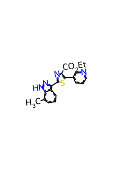 CCOC(=O)c1nc(-c2n[nH]c3c(C)cccc23)sc1-c1cccnc1